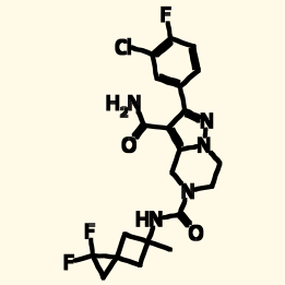 CC1(NC(=O)N2CCn3nc(-c4ccc(F)c(Cl)c4)c(C(N)=O)c3C2)CC2(C1)CC2(F)F